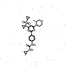 C[C@H]1COCCN1c1cc(C2(S(=O)(=O)C3CC3)CC2)nc(-c2ccc(NC(=S)NC3CC3)cc2)n1